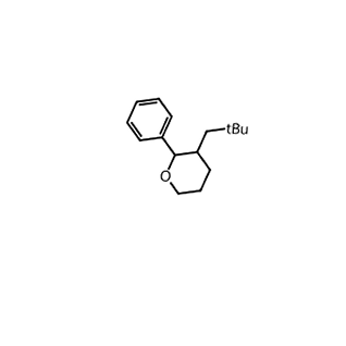 CC(C)(C)CC1CCCOC1c1ccccc1